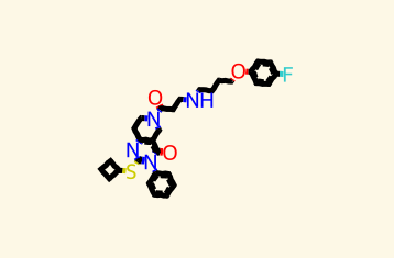 O=C(CCNCCCCOc1ccc(F)cc1)N1CCc2nc(SC3CCC3)n(-c3ccccc3)c(=O)c2C1